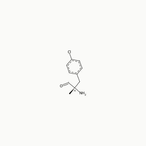 C[C@@](N)([C]=O)Cc1ccc(Cl)cc1